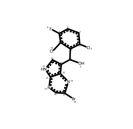 OC(c1c(Cl)ccc(F)c1Cl)c1c[nH]c2ncc(Br)nc12